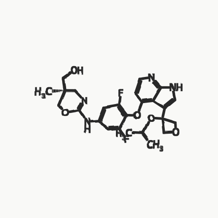 CC(C)OC1(c2c[nH]c3nccc(Oc4c(F)cc(NC5=NC[C@](C)(CO)CO5)cc4F)c23)COC1